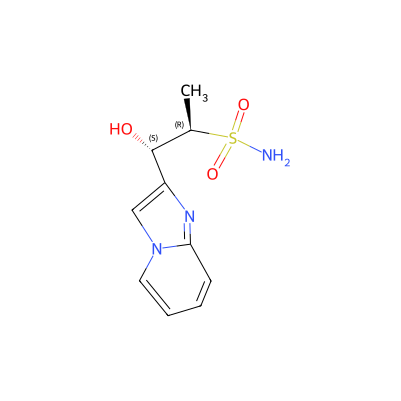 C[C@H]([C@@H](O)c1cn2ccccc2n1)S(N)(=O)=O